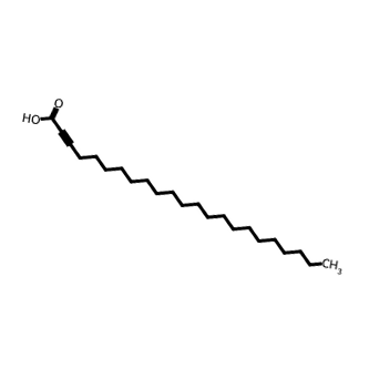 CCCCCCCCCCCCCCCCCCCCC#CC(=O)O